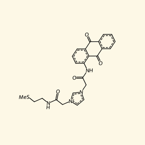 CSCCNC(=O)C[n+]1ccn(CC(=O)Nc2cccc3c2C(=O)c2ccccc2C3=O)c1